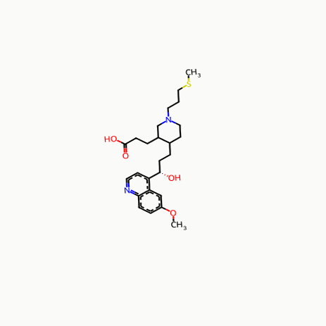 COc1ccc2nccc([C@@H](O)CCC3CCN(CCCSC)CC3CCC(=O)O)c2c1